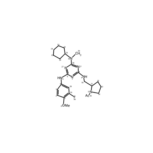 COc1ccc(Nc2nc(NCC3CCCN3C(C)=O)nc(N(C)C3CCCCC3)n2)cc1F